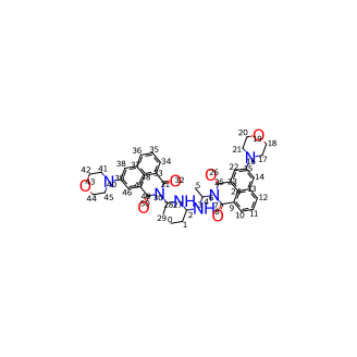 CCC(NC(C)N1C(=O)c2cccc3cc(N4CCOCC4)cc(c23)C1=O)NC(C)N1C(=O)c2cccc3cc(N4CCOCC4)cc(c23)C1=O